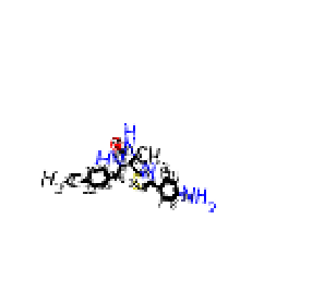 CC1=C(c2nc(-c3ccc(N)cc3)cs2)C(Cc2ccc(C)cc2)NC(=O)N1